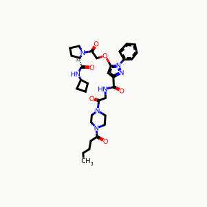 CCCCC(=O)N1CCN(C(=O)CNC(=O)c2cc(OCC(=O)N3CCC[C@H]3C(=O)NC3CCC3)n(-c3ccccc3)n2)CC1